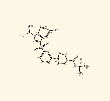 CC(C)n1cc(S(=O)(=O)c2cccc(N3CCN(C(=O)OC(C)(C)C)CC3)c2)c2cc(F)ccc21